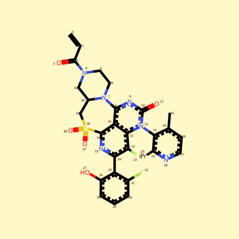 C=CC(=O)N1CCN2c3nc(=O)n(-c4c(C)ccnc4C(C)C)c4c(F)c(-c5c(O)cccc5F)nc(c34)S(=O)(=O)CC2C1